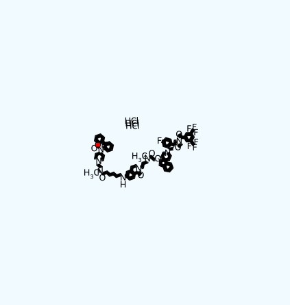 CN(CCN1CCC(N(C(=O)O)c2ccccc2-c2ccccc2)CC1)C(=O)CCCCCNc1ccc2c(c1)CCN(CCCN(C)C(=O)CO[C@H]1Cc3ccccc3C13CCN(CC[C@]1(c4ccc(F)cc4)CN(C(=O)c4cc(C(F)(F)F)cc(C(F)(F)F)c4)CO1)CC3)C2=O.Cl.Cl.Cl